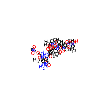 CC[C@H](C)[C@@H]([C@@H](CC(=O)N(CC)[C@@H](C)[C@H](OC)[C@@H](C)C(O)N[C@H](C)[C@@H](O)c1ccccc1)OC)N(C)C(=O)[C@@H](NC(=O)[C@H](C(C)C)N(C)C(=O)OCc1ccc(NC(=O)C(CCCNC(N)=O)NC(=O)[C@@H](NC(=O)CCOCCN2C(=O)C=CC2=O)C(C)C)cc1S(=O)(=O)O)C(C)C